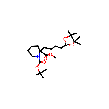 COC(=O)C1(CCCCB2OC(C)(C)C(C)(C)O2)CCCCN1C(=O)OC(C)(C)C